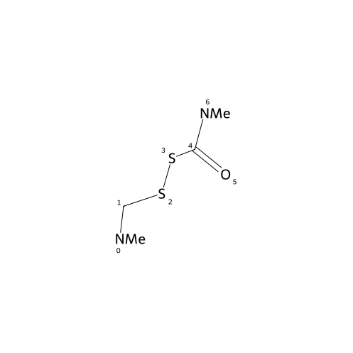 CNCSSC(=O)NC